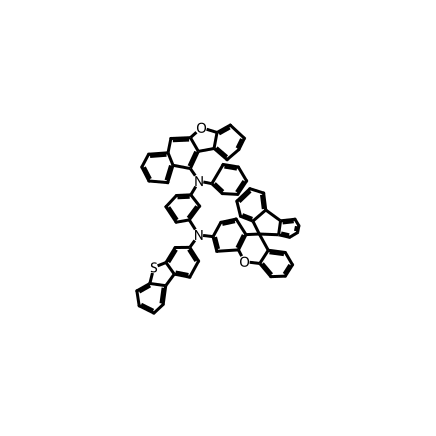 c1ccc(N(c2cccc(N(c3ccc4c(c3)Oc3ccccc3C43c4ccccc4-c4ccccc43)c3ccc4c(c3)sc3ccccc34)c2)c2c3ccccc3cc3oc4ccccc4c23)cc1